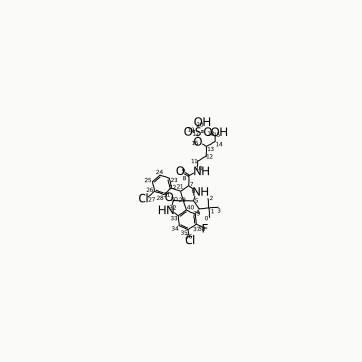 CC(C)(C)CC1NC(C(=O)NCCC(CO)OS(=O)(=O)O)C(c2cccc(Cl)c2)C12C(=O)Nc1cc(Cl)c(F)cc12